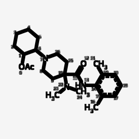 CC(=O)OC1CCCCC1N1CCC(C(=O)Nc2c(C)cccc2C)(N(C)C)CC1